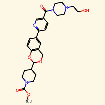 CC(C)(C)OC(=O)N1CCC(C2OCc3cc(-c4ccc(C(=O)N5CCN(CCO)CC5)cn4)ccc3O2)CC1